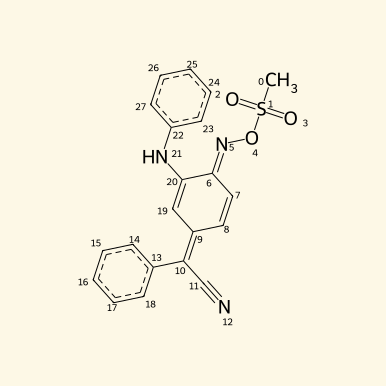 CS(=O)(=O)ON=C1C=CC(=C(C#N)c2ccccc2)C=C1Nc1ccccc1